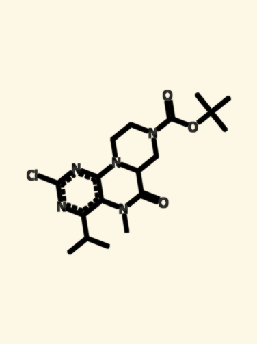 CC(C)c1nc(Cl)nc2c1N(C)C(=O)C1CN(C(=O)OC(C)(C)C)CCN21